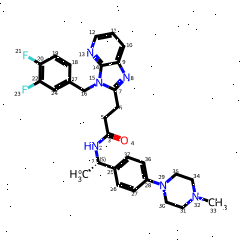 C[C@H](NC(=O)CCc1nc2cccnc2n1Cc1ccc(F)c(F)c1)c1ccc(N2CCN(C)CC2)cc1